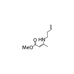 C=CCCNC(C)=CC(=O)OC